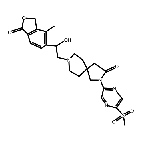 Cc1c(C(O)CN2CCC3(CC2)CC(=O)N(c2cnc(S(C)(=O)=O)cn2)C3)ccc2c1COC2=O